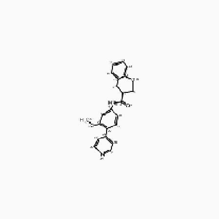 COc1cc(NC(=O)C2COc3ccccc3C2)ccc1-c1ccncc1